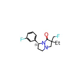 CCC1(CF)CN2CC[C@@H](c3cccc(F)c3)N2C1=O